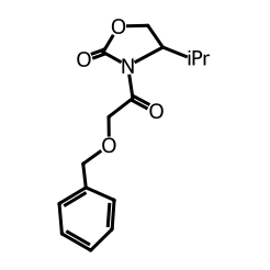 CC(C)C1COC(=O)N1C(=O)COCc1ccccc1